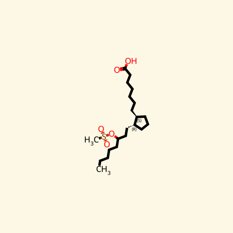 CCCCCC(CC[C@H]1CCC[C@@H]1CCCCCCC(=O)O)OS(C)(=O)=O